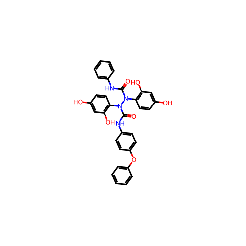 O=C(Nc1ccccc1)N(c1ccc(O)cc1O)N(C(=O)Nc1ccc(Oc2ccccc2)cc1)c1ccc(O)cc1O